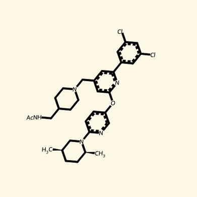 CC(=O)NCC1CCN(Cc2cc(Oc3ccc(N4C[C@H](C)CC[C@@H]4C)nc3)nc(-c3cc(Cl)cc(Cl)c3)c2)CC1